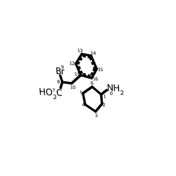 NC1CCCCC1.O=C(O)C(Br)Cc1ccccc1